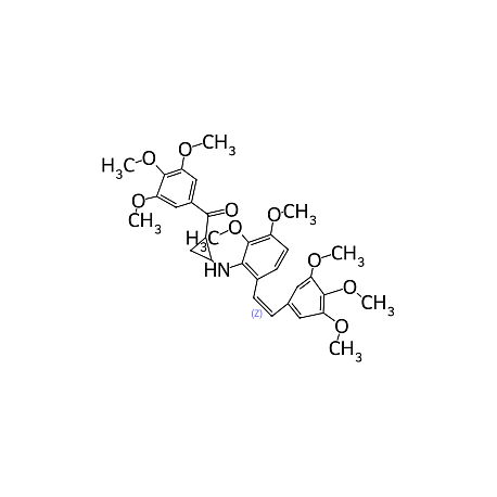 COc1cc(/C=C\c2ccc(OC)c(OC)c2NC2CC2C(=O)c2cc(OC)c(OC)c(OC)c2)cc(OC)c1OC